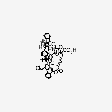 NCC(N)C(=O)NC(CC(=O)O)C(=O)NC(CSSCCOC(=O)Oc1cc2c(c3ccccc13)C(CCl)CN2C(=O)c1cc2cc(NC(=O)c3cc4ccccc4[nH]3)ccc2[nH]1)C(=O)O